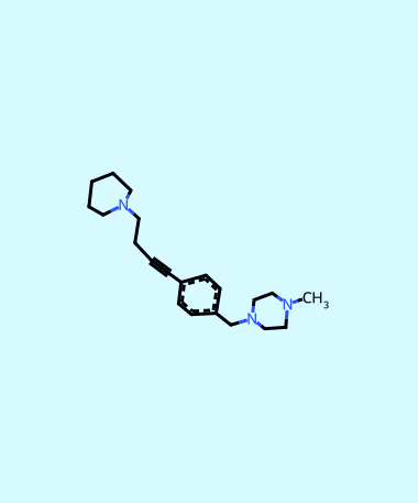 CN1CCN(Cc2ccc(C#CCCN3CCCCC3)cc2)CC1